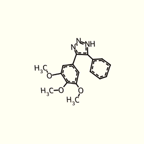 COc1cc(-c2nn[nH]c2-c2ccccc2)cc(OC)c1OC